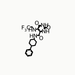 O=C(NC1CCC(c2ccccc2)CC1)c1[nH]c(=O)[nH]c(=O)c1NCC(F)(F)F